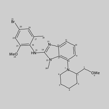 COCC1CCCCN1c1cccc2nc(Nc3c(C)cc(Br)cc3OC)n(C)c12